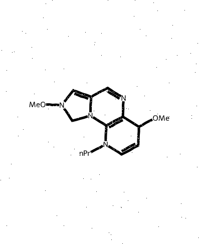 CCCN1C=CC(OC)C2=C1N1CN(OC)C=C1C=N2